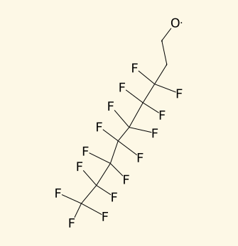 [O]CCC(F)(F)C(F)(F)C(F)(F)C(F)(F)C(F)(F)C(F)(F)C(F)(F)F